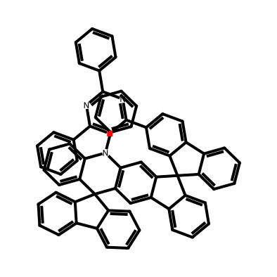 c1ccc(-c2nc(-c3ccccc3)nc(-c3ccc4c(c3)C3(c5ccccc5-4)c4ccccc4-c4cc5c(cc43)N(c3ccccc3)c3ccccc3C53c4ccccc4-c4ccccc43)n2)cc1